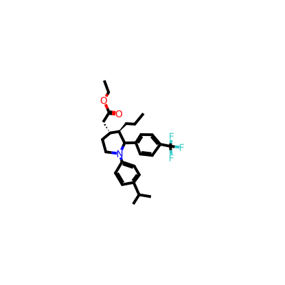 CCC[C@H]1C(c2ccc(C(F)(F)F)cc2)N(c2ccc(C(C)C)cc2)CC[C@@H]1CC(=O)OCC